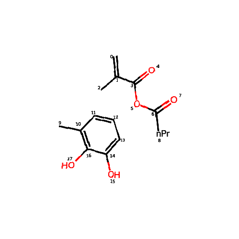 C=C(C)C(=O)OC(=O)CCC.Cc1cccc(O)c1O